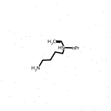 C=C[SiH](CCC)CCCCN